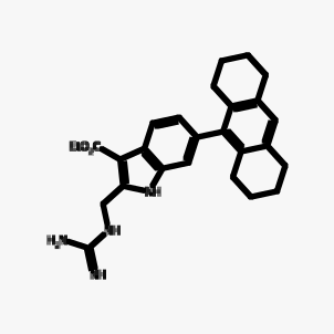 CCOC(=O)c1c(CNC(=N)N)[nH]c2cc(-c3c4c(cc5c3CCCC5)CCCC4)ccc12